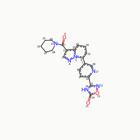 O=C(c1cnn2c(-c3ccc(-c4noc(=O)[nH]4)nc3)cccc12)N1CCCCC1